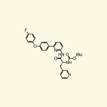 CC(C)(C)OC(=O)N[C@@H](Cc1cccnc1)C(=O)Nc1cccc(-c2ccc(Oc3ccc(F)cc3)cc2)n1